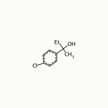 CCC(C)(O)c1ccc(Cl)cc1